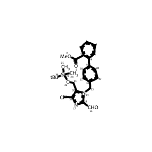 COC(=O)c1ccccc1-c1ccc(Cn2c(C=O)nc(Cl)c2CO[Si](C)(C)C(C)(C)C)cc1